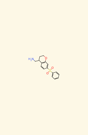 NCC1CCOc2cc(S(=O)(=O)c3ccccc3)ccc21